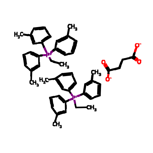 CC[P+](c1cccc(C)c1)(c1cccc(C)c1)c1cccc(C)c1.CC[P+](c1cccc(C)c1)(c1cccc(C)c1)c1cccc(C)c1.O=C([O-])CCC(=O)[O-]